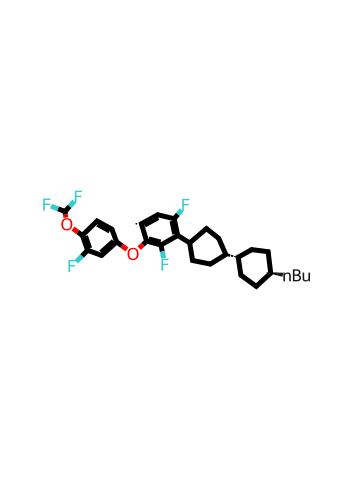 CCCC[C@H]1CC[C@H](C2CCC(c3c(F)c[c]c(Oc4ccc(OC(F)F)c(F)c4)c3F)CC2)CC1